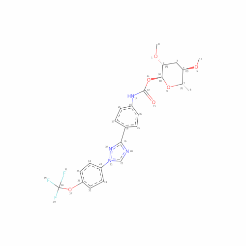 CO[C@@H]1C[C@@H](OC)[C@H](C)O[C@H]1OC(=O)Nc1ccc(-c2ncn(-c3ccc(OC(F)(F)F)cc3)n2)cc1